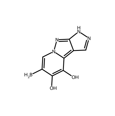 Bc1cn2nc3[nH]ncc3c2c(O)c1O